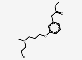 COC(=O)Cc1cccc(OCCCN(C)CCO)c1